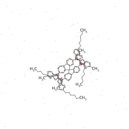 CCCCCCc1csc(N(c2ccc3c(c2)C2(c4cc(N(c5cc(C)cs5)c5ccc(C)s5)ccc4-c4ccc(N(c5ccc(CCCCCC)s5)c5ccc(CCCCCC)s5)cc42)c2cc(N(c4ccc(C)s4)c4ccc(C)s4)ccc2-3)c2ccc(CCCCCC)s2)c1